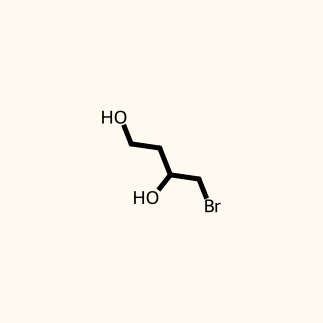 OCCC(O)CBr